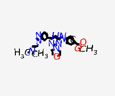 COC(=O)c1ccc(Nc2cc(-c3ccc4ncn(CCN(C)C)c4c3)nc(N3CCOCC3)n2)cc1